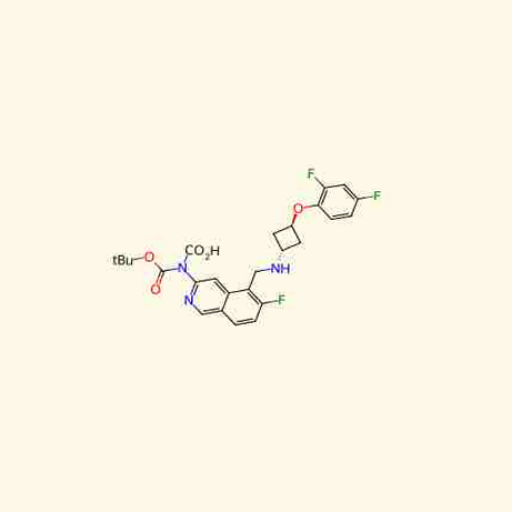 CC(C)(C)OC(=O)N(C(=O)O)c1cc2c(CN[C@H]3C[C@H](Oc4ccc(F)cc4F)C3)c(F)ccc2cn1